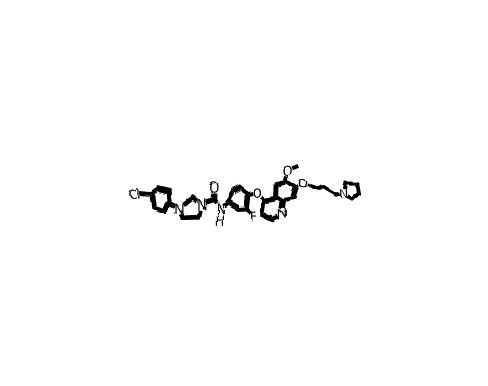 COc1cc2c(Oc3ccc(NC(=O)N4C=CN(c5ccc(Cl)cc5)C4)cc3F)ccnc2cc1OCCCN1CCCC1